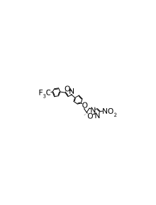 C[C@]1(COc2ccc(-c3cc(-c4ccc(C(F)(F)F)cc4)on3)cc2)Cn2cc([N+](=O)[O-])nc2O1